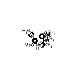 COc1cc(N2CCN(C)CC2)ccc1Nc1ncc(C(F)(F)F)c(N[C@@H]2CCCC[C@H]2N(C)S(C)(=O)=O)n1